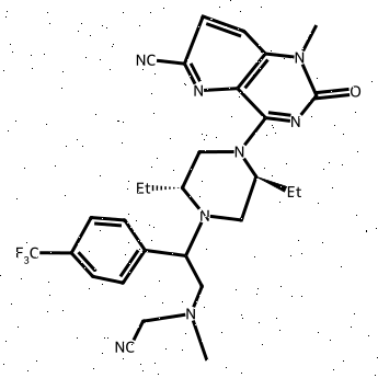 CC[C@H]1CN(C(CN(C)CC#N)c2ccc(C(F)(F)F)cc2)[C@H](CC)CN1c1nc(=O)n(C)c2ccc(C#N)nc12